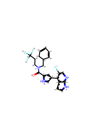 O=C(c1cc(-c2c(F)cnc3[nH]ccc23)c[nH]1)N(CCC(F)(F)F)CC1C=CC=CC1